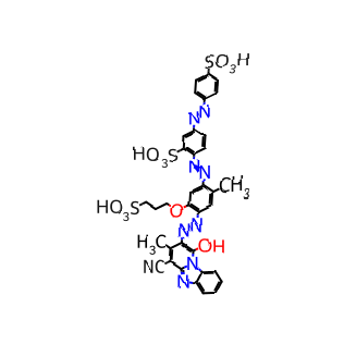 Cc1cc(N=Nc2c(C)c(C#N)c3nc4ccccc4n3c2O)c(OCCCS(=O)(=O)O)cc1N=Nc1ccc(N=Nc2ccc(S(=O)(=O)O)cc2)cc1S(=O)(=O)O